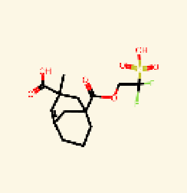 CC1(C(=O)O)C=C2CCCC(C(=O)OCC(F)(F)S(=O)(=O)O)(C2)C1